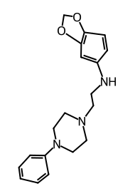 c1ccc(N2CCN(CCNc3ccc4c(c3)OCO4)CC2)cc1